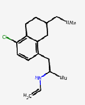 C=CNC(Cc1ccc(Cl)c2c1CC(CNC)CC2)C(C)(C)C